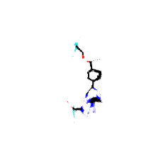 COC(F)(F)c1nnc2cnc(-c3ccc([C@H](C)OCC(F)(F)F)cc3)cn12